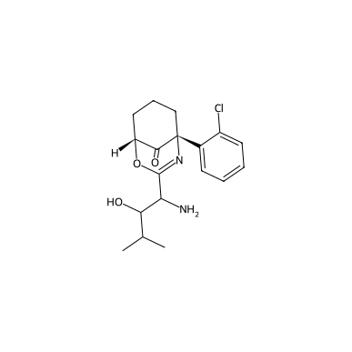 CC(C)C(O)C(N)C1=N[C@@]2(c3ccccc3Cl)CCC[C@@H](O1)C2=O